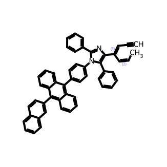 C#C/C=C(\C=C/C)c1nc(-c2ccccc2)n(-c2ccc(-c3c4ccccc4c(-c4ccc5ccccc5c4)c4ccccc34)cc2)c1-c1ccccc1